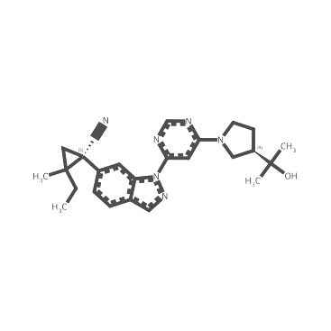 CCC1(C)C[C@@]1(C#N)c1ccc2cnn(-c3cc(N4CC[C@@H](C(C)(C)O)C4)ncn3)c2c1